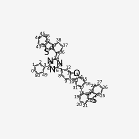 c1ccc(-c2nc(-c3ccc4c(c3)oc3ccc(-c5cccc6sc7ccccc7c56)cc34)nc(-c3cccc4c3sc3ccccc34)n2)cc1